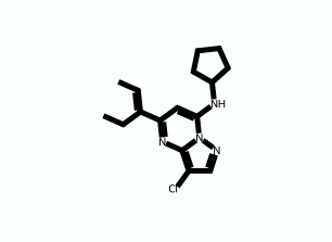 C/C=C(\CC)c1cc(NC2CCCC2)n2ncc(Cl)c2n1